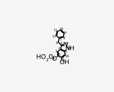 O=C(O)Oc1cc2c(Cc3ccccc3)n[nH]c2cc1O